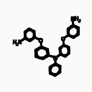 Nc1cccc(Oc2cccc(N(c3ccccc3)c3cccc(Oc4cccc(N)c4)c3)c2)c1